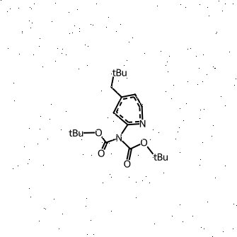 CC(C)(C)Cc1ccnc(N(C(=O)OC(C)(C)C)C(=O)OC(C)(C)C)c1